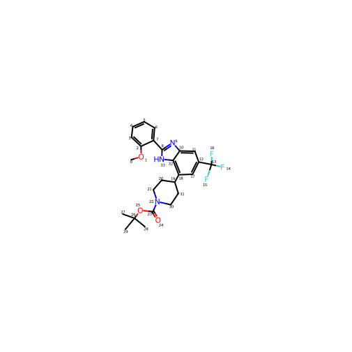 COc1ccccc1-c1nc2cc(C(F)(F)F)cc(C3CCN(C(=O)OC(C)(C)C)CC3)c2[nH]1